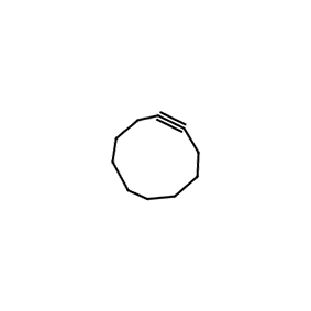 C1#CCCCCCCCC1